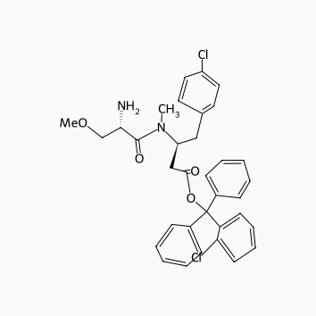 COC[C@H](N)C(=O)N(C)[C@H](CC(=O)OC(c1ccccc1)(c1ccccc1)c1ccccc1Cl)Cc1ccc(Cl)cc1